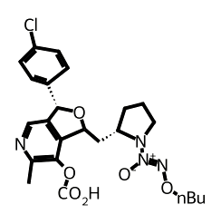 CCCCON=[N+]([O-])N1CCC[C@H]1CC1O[C@@H](c2ccc(Cl)cc2)c2cnc(C)c(OC(=O)O)c21